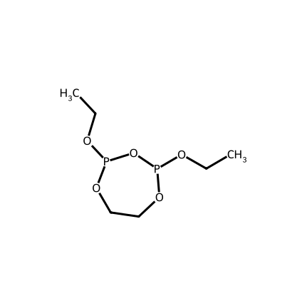 CCOP1OCCOP(OCC)O1